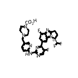 O=C(O)N1CCN(Cc2ccc(Nc3ncc(F)c(-c4cc(F)c5nc6n(c5c4)[C@H](C(F)F)CC6)n3)nc2)CC1